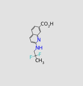 CC(F)(F)CNc1ccc2ccc(C(=O)O)cc2n1